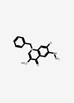 NNc1cc2c(=O)c(C(=O)O)cn(Cc3ccccc3)c2cc1Cl